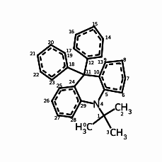 CC(C)(C)N1c2ccccc2C(c2ccccc2)(c2ccccc2)c2ccccc21